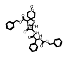 O=C(NC(C(=O)NC1C(=O)N2C(C(=O)OCc3ccccc3)C3(CC[S+]([O-])CC3)S[C@@H]12)c1ccccc1)OCc1ccccc1